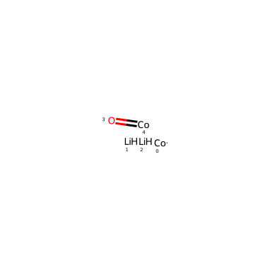 [Co].[LiH].[LiH].[O]=[Co]